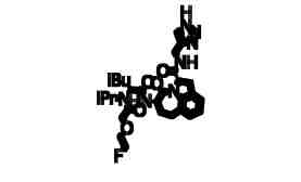 CC[C@H](C)[C@@H](C(=O)N[C@H]1CCc2cccc3c2N(C1=O)[C@H](C(=O)NCc1c[nH]nn1)C3)N(C(=O)COCCF)C(C)C